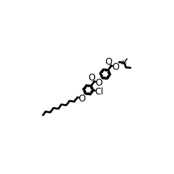 CCCCCCCCCCOc1ccc(C(=O)Oc2ccc(C(=O)OC[C@@H](C)CC)cc2)c(Cl)c1